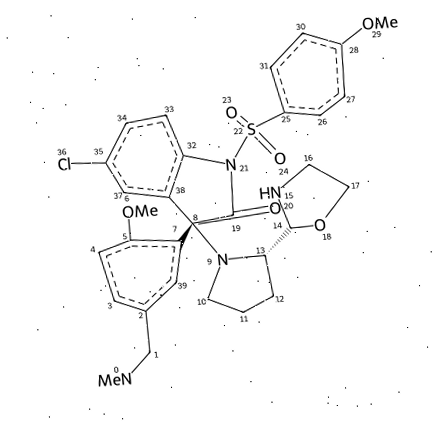 CNCc1ccc(OC)c([C@]2(N3CCC[C@H]3C3NCCO3)C(=O)N(S(=O)(=O)c3ccc(OC)cc3)c3ccc(Cl)cc32)c1